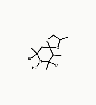 CCC1(C)CC2(OCC(C)O2)C(C)C(C)(CC)N1O